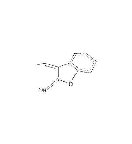 C/C=C1\C(=N)Oc2ccccc21